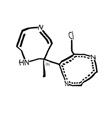 C[C@]1(c2nccnc2Cl)C=NC=CN1